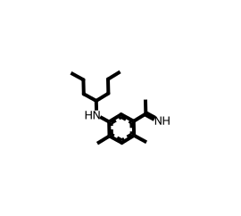 CCCC(CCC)Nc1cc(C(C)=N)c(C)cc1C